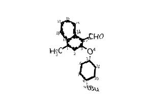 Cc1cc(O[C@H]2CC[C@@H](C(C)(C)C)CC2)c(C=O)c2ccccc12